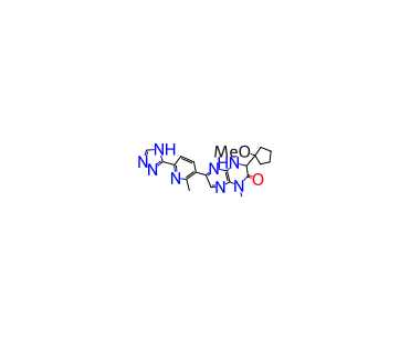 COC1(C2Nc3nc(-c4ccc(-c5nnc[nH]5)nc4C)cnc3N(C)C2=O)CCCC1